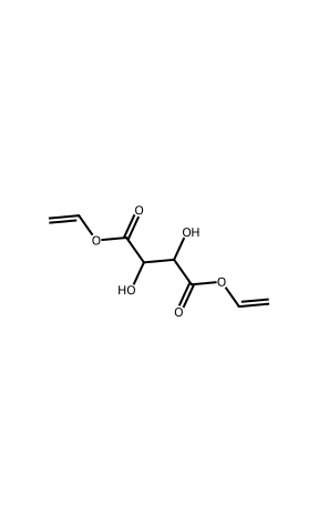 C=COC(=O)C(O)C(O)C(=O)OC=C